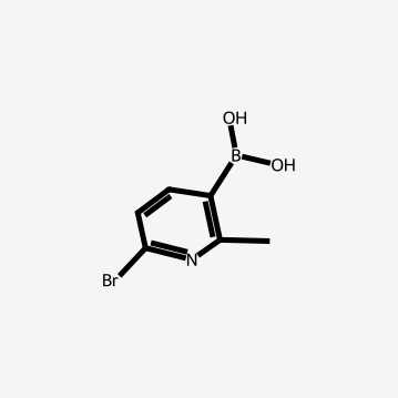 Cc1nc(Br)ccc1B(O)O